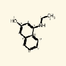 CCNc1cc(O)cc2ccccc12